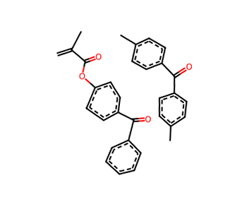 C=C(C)C(=O)Oc1ccc(C(=O)c2ccccc2)cc1.Cc1ccc(C(=O)c2ccc(C)cc2)cc1